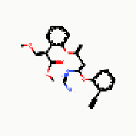 C#Cc1ccccc1OC(=C/C(=C)Oc1ccccc1/C(=C\OC)C(=O)OC)/N=C\N